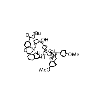 COc1ccc(CN(Cc2ccc(OC)cc2)S(=O)(=O)CC(C)(C)[C@@H]2C=C([C@H](O)[C@@H]3CC[C@H]3CN3C[C@@]4(CCCc5cc(Cl)ccc54)COc4ccc(C(=O)OC(C)(C)C)cc43)C2)cc1